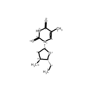 CC[C@H]1O[C@@H](n2cc(C)c(=O)[nH]c2=O)C[C@@H]1C